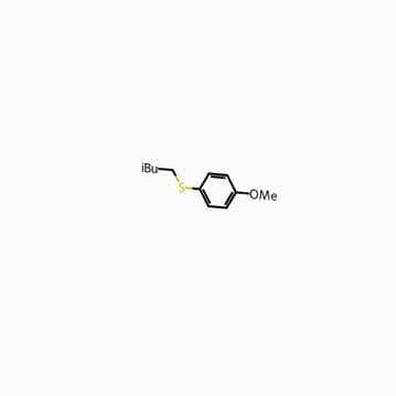 CCC(C)CSc1ccc(OC)cc1